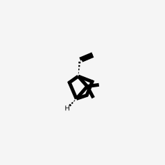 C=C[C@@]12CC[C@@H](C1)C2(C)C